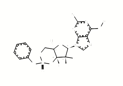 CCCOc1nc(N)nc2c1ncn2[C@@H]1O[C@@H]2COP(=O)(Oc3ccccc3)O[C@H]2[C@@]1(C)F